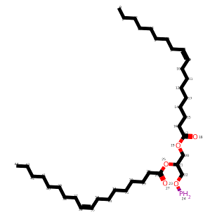 CCCCCCCC/C=C\CCCCCCCC(=O)OCC(COP)OC(=O)CCCCCCC/C=C\CCCCCCCC